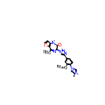 COc1cc(-c2cn(C3N=C(C(C)(C)C)c4occc4N(C)C3=O)nn2)ccc1-n1cnc(C)c1